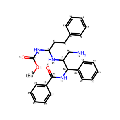 CC(C)(C)OC(=O)NC(CCc1ccccc1)NC(CN)C(NC(=O)c1ccccc1)c1ccccc1